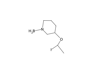 BN1CCCC(OC(C)I)C1